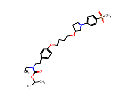 CCN(CCc1ccc(OCCCCOC2CCN(c3ccc(S(C)(=O)=O)cc3)C2)cc1)C(=O)OC(C)C